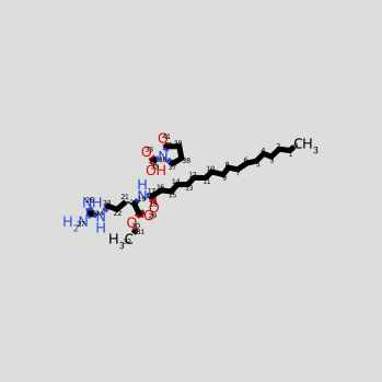 CCCCCCCCCCCCCCCCCC(=O)N[C@@H](CCCNC(=N)N)C(=O)OCC.O=C(O)N1CCCC1=O